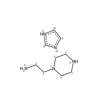 NCCN1CCNCC1.c1c[nH]cn1